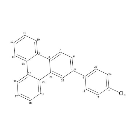 Clc1ccc(-c2ccc3c4ccccc4c4ccccc4c3c2)cc1